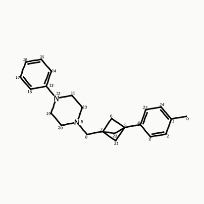 Cc1ccc(C23CC(CN4CCN(c5ccccc5)CC4)(C2)C3)cc1